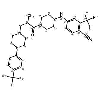 CC(CN1CCN(c2ccc(C(F)(F)F)cc2)CC1)C(=O)N1CCC(Nc2ccc(C#N)c(C(F)(F)F)c2)CC1